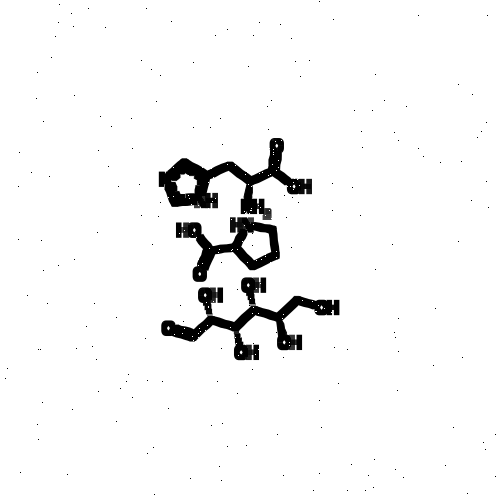 N[C@@H](Cc1cnc[nH]1)C(=O)O.O=C(O)C1CCCN1.O=C[C@H](O)[C@@H](O)[C@H](O)[C@H](O)CO